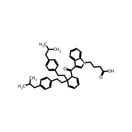 CC(C)Cc1ccc(CCC2(CCc3ccc(CC(C)C)cc3)C=CC=CC2C(=O)c2cn(CCCC(=O)O)c3ccccc23)cc1